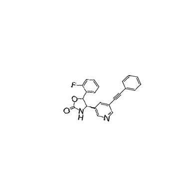 O=C1N[C@H](c2cncc(C#Cc3ccccc3)c2)C(c2ccccc2F)O1